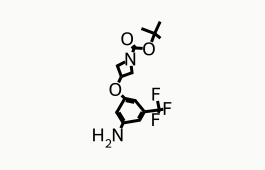 CC(C)(C)OC(=O)N1CC(Oc2cc(N)cc(C(F)(F)F)c2)C1